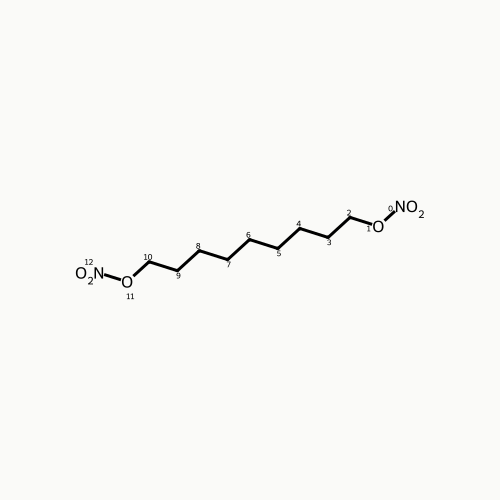 O=[N+]([O-])OCCCCCCCCCO[N+](=O)[O-]